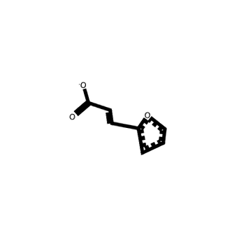 [O]C(=O)C=Cc1ccco1